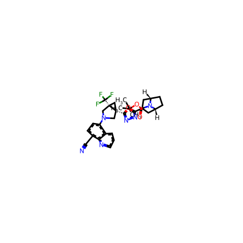 CC(C)(C)OC(=O)N1[C@@H]2CC[C@H]1CC(c1nnc([C@]34CN(c5ccc(C#N)c6ncccc56)C[C@@]3(C(F)(F)F)C4)o1)C2